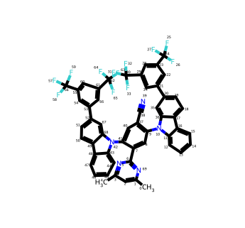 Cc1cc(C)nc(-c2cc(-n3c4ccccc4c4ccc(-c5cc(C(F)(F)F)cc(C(F)(F)F)c5)cc43)c(C#N)cc2-n2c3ccccc3c3ccc(-c4cc(C(F)(F)F)cc(C(F)(F)F)c4)cc32)n1